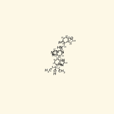 CCC(O)(CC)c1ccc(-c2cnc(NCc3c(F)ccc4c3CCO4)n3cnnc23)c2ncnn12